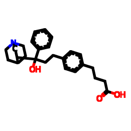 O=C(O)CCCc1ccc(CCC(O)(c2ccccc2)C2CN3CCC2CC3)cc1